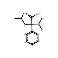 CC(C)CC(C(=O)O)(c1ccccc1)C(C)C